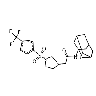 O=C(CC1CCN(S(=O)(=O)c2ccc(C(F)(F)F)cc2)C1)NC12CC3CC(CC(C3)C1)C2